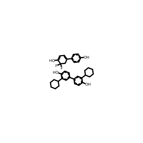 OC1=CC=C(c2ccc(O)cc2)CC1(F)F.Oc1ccc(-c2ccc(O)c(C3CCCCC3)c2)cc1C1CCCCC1